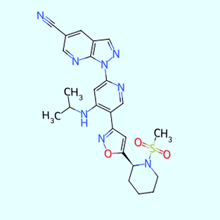 CC(C)Nc1cc(-n2ncc3cc(C#N)cnc32)ncc1-c1cc([C@@H]2CCCCN2S(C)(=O)=O)on1